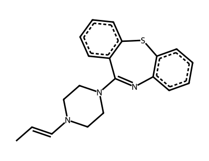 CC=CN1CCN(C2=Nc3ccccc3Sc3ccccc32)CC1